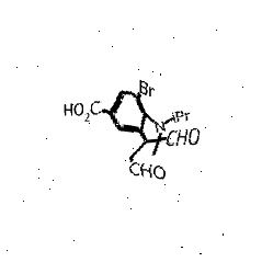 CC(C)N1c2c(Br)cc(C(=O)O)cc2C(CC=O)C1(C)C=O